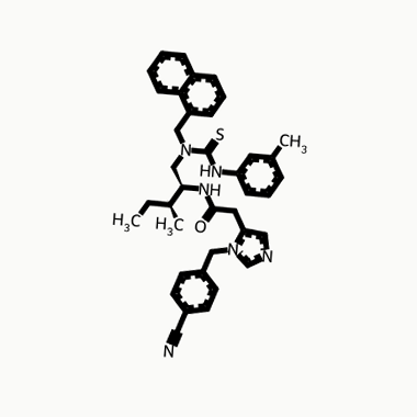 CC[C@H](C)[C@@H](CN(Cc1cccc2ccccc12)C(=S)Nc1cccc(C)c1)NC(=O)Cc1cncn1Cc1ccc(C#N)cc1